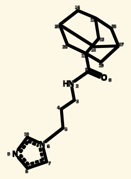 O=C(NCCCn1ccnc1)C12CC3CC(CC(C3)C1)C2